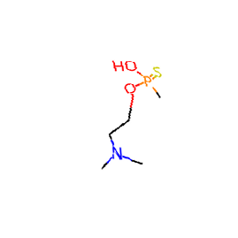 CN(C)CCOP(C)(O)=S